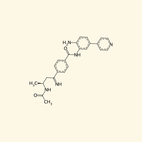 CC(=O)N[C@@H](C)CC(=N)c1ccc(C(=O)Nc2cc(-c3ccncc3)ccc2N)cc1